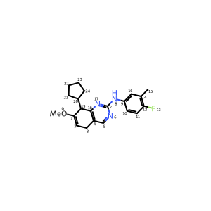 COC1=CCc2cnc(Nc3ccc(F)c(C)c3)nc2C1C1CCCC1